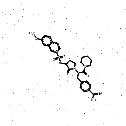 COc1ccc2ccc(S(=O)(=O)NC3CCN(C(Cc4ccc(C(=N)N)cc4)C(=O)N4CCCCC4)C3=O)cc2c1